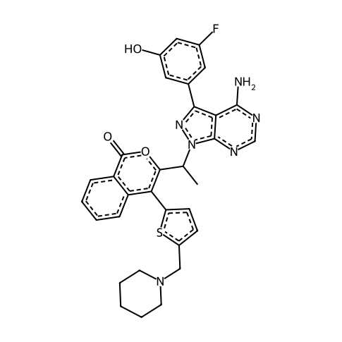 CC(c1oc(=O)c2ccccc2c1-c1ccc(CN2CCCCC2)s1)n1nc(-c2cc(O)cc(F)c2)c2c(N)ncnc21